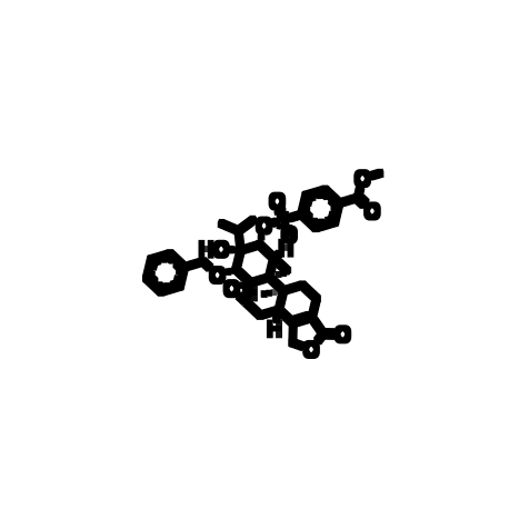 COC(=O)c1ccc(S(=O)(=O)O[C@@H]2[C@@H]3C[C@]34[C@]3(O[C@H]3C[C@H]3C5=C(CC[C@@]34C)C(=O)OC5)[C@H](OCc3ccccc3)[C@]2(O)C(C)C)cc1